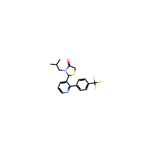 CC(C)CN1C(=O)CSC1c1cccnc1-c1ccc(C(F)(F)F)cc1